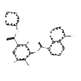 COc1cc(C(=O)Nc2cccnc2)c(Cl)c(NC(=O)c2cccc3c(N)ncnc23)c1Cl